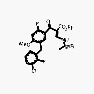 CCOC(=O)C(=CN[C@H](C)C(C)C)C(=O)c1cc(Cc2cccc(Cl)c2F)c(OC)cc1F